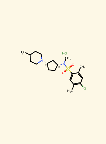 Cc1cc(S(=O)(=O)N(C)[C@@H]2CC[C@H](N3CCC(C)CC3)C2)c(C)cc1Cl.Cl